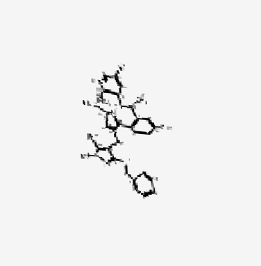 CCn1nc(OCc2ccccc2)c(Cc2cn(C)nc2-c2ccc(F)cc2[C@@H](C)Oc2cc(Br)cnc2[N+](=O)[O-])c1Br